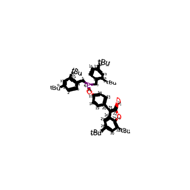 CC(C)(C)c1ccc(CP(Cc2ccc(C(C)(C)C)cc2C(C)(C)C)Oc2ccc(C3C(=O)Oc4c3cc(C(C)(C)C)cc4C(C)(C)C)cc2)c(C(C)(C)C)c1